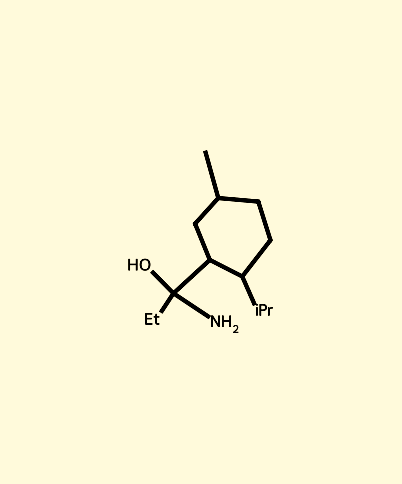 CCC(N)(O)C1CC(C)CCC1C(C)C